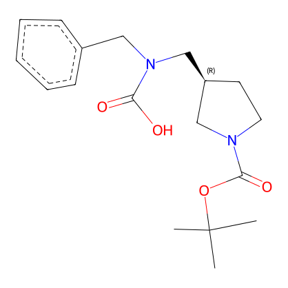 CC(C)(C)OC(=O)N1CC[C@H](CN(Cc2ccccc2)C(=O)O)C1